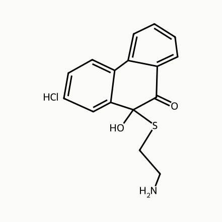 Cl.NCCSC1(O)C(=O)c2ccccc2-c2ccccc21